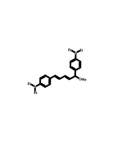 CCN(CC)c1ccc(C=CC=CC(OC)c2ccc(N(CC)CC)cc2)cc1